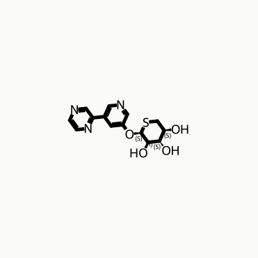 O[C@@H]1[C@@H](O)[C@@H](Oc2cncc(-c3cnccn3)c2)SC[C@H]1O